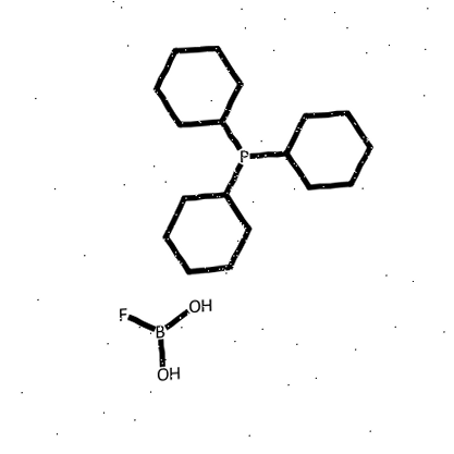 C1CCC(P(C2CCCCC2)C2CCCCC2)CC1.OB(O)F